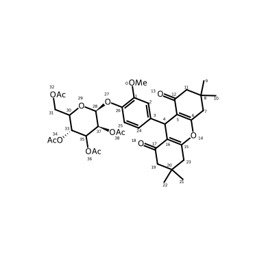 COc1cc(C2C3=C(CC(C)(C)CC3=O)OC3=C2C(=O)CC(C)(C)C3)ccc1O[C@@H]1OC(COC(C)=O)[C@@H](OC(C)=O)C(OC(C)=O)[C@@H]1OC(C)=O